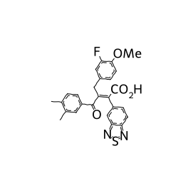 COc1ccc(CC(C(=O)c2ccc(C)c(C)c2)=C(C(=O)O)c2ccc3nsnc3c2)cc1F